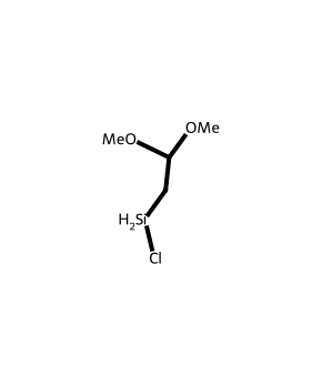 COC(C[SiH2]Cl)OC